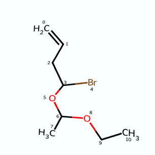 C=CCC(Br)OC(C)OCC